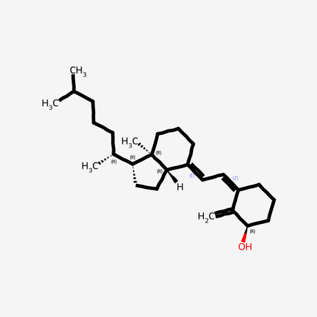 C=C1/C(=C\C=C2/CCC[C@]3(C)[C@@H]([C@H](C)CCCC(C)C)CC[C@@H]23)CCC[C@H]1O